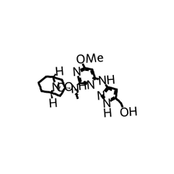 COc1cc(Nc2cc(CO)[nH]n2)nc(N(C)[C@H]2C[C@H]3CCC[C@@H](C2)N3C(=O)O)n1